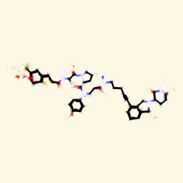 CN(CCCC#Cc1cccc2c1CN(C1CCC(=O)NC1=O)C2=O)C(=O)CCN(C(=O)[C@@H]1CCCN1C(=O)C(NC(=O)c1cc2cc(C(F)(F)P(=O)(O)O)ccc2s1)C(C)(C)C)c1ccc(Br)cc1